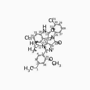 CCc1ccc(-c2nc3c(n2C(C)C)C2(C(=O)Nc4cc(Cl)ccc42)N(c2cccc(Cl)c2)C3=O)c(OC)c1